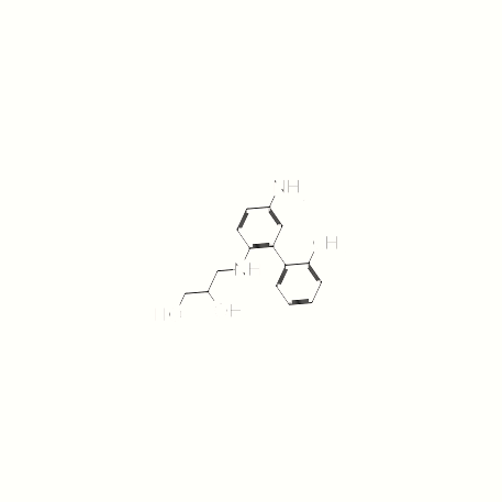 Cc1ccccc1-c1cc(N)ccc1NCC(O)CO